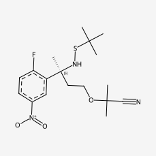 CC(C)(C#N)OCC[C@](C)(NSC(C)(C)C)c1cc([N+](=O)[O-])ccc1F